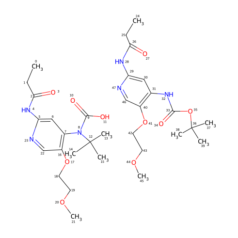 CCC(=O)Nc1cc(N(C(=O)O)C(C)(C)C)c(OCCOC)cn1.CCC(=O)Nc1cc(NC(=O)OC(C)(C)C)c(OCCOC)cn1